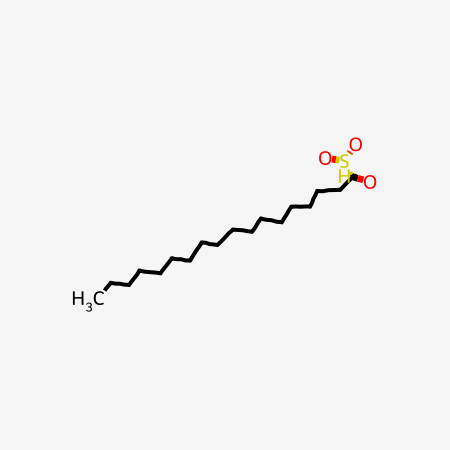 CCCCCCCCCCCCCCCCCC(=O)[SH](=O)=O